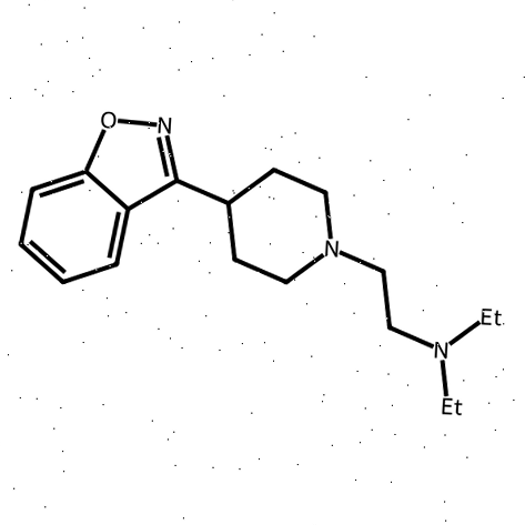 CCN(CC)CCN1CCC(c2noc3ccccc23)CC1